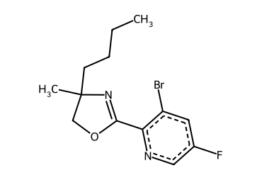 CCCCC1(C)COC(c2ncc(F)cc2Br)=N1